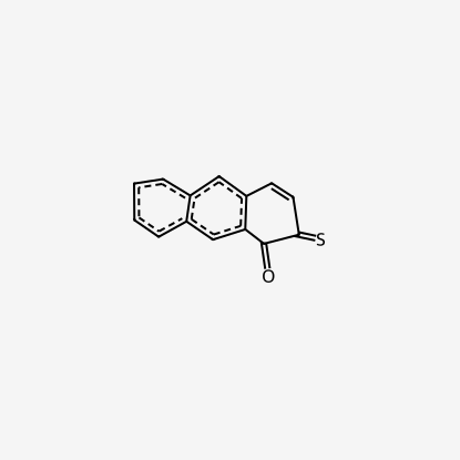 O=C1C(=S)C=Cc2cc3ccccc3cc21